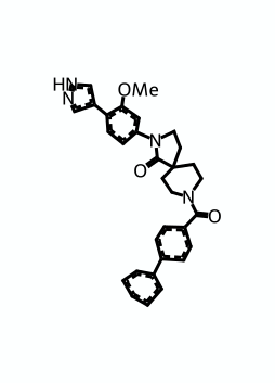 COc1cc(N2CCC3(CCN(C(=O)c4ccc(-c5ccccc5)cc4)CC3)C2=O)ccc1-c1cn[nH]c1